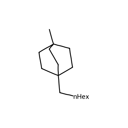 CCCCCCCC12CCC(C)(CC1)CC2